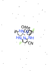 COc1ncc(Nc2nc(N[C@@H](CC(C)C)[C@H](C)NC(=O)O)c(F)cc2C#N)cc1F